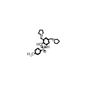 Cc1ccc(S(=O)(=O)Nc2cc(CN3CCCC3)cc(CN3CCCC3)c2O)cc1